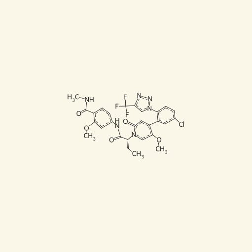 CC[C@@H](C(=O)Nc1ccc(C(=O)NC)c(OC)c1)n1cc(OC)c(-c2cc(Cl)ccc2-n2cc(C(F)(F)F)nn2)cc1=O